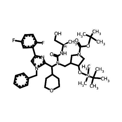 C[C@H](CO)NC(=O)N(CC1CN(C(=O)OC(C)(C)C)CC1O[Si](C)(C)C(C)(C)C)C(c1nc(-c2cc(F)ccc2F)cn1Cc1ccccc1)C1CCOCC1